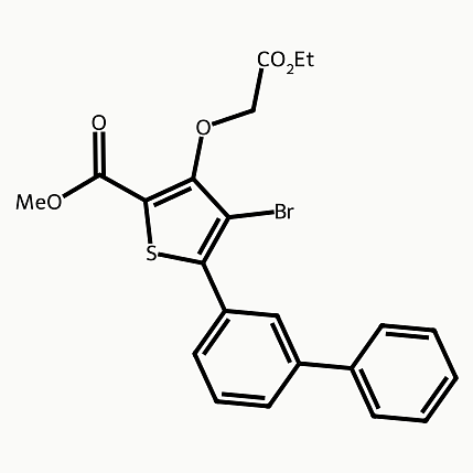 CCOC(=O)COc1c(C(=O)OC)sc(-c2cccc(-c3ccccc3)c2)c1Br